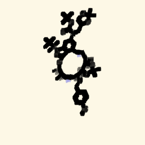 COc1ccc(CO[C@@H]2/C=C\[C@@H](C)[C@H](C)OC(=O)c3c(cc(N(CC4COC(C)(C)O4)C(=O)OC(C)(C)C)cc3O[Si](C)(C)C(C)(C)C)/C=C/C[C@@H]3OC(C)(C)O[C@@H]32)cc1